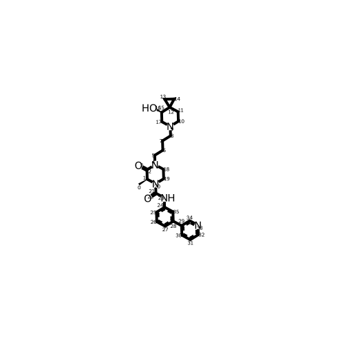 C[C@H]1C(=O)N(CCCCN2CCC3(CC3)[C@H](O)C2)CCN1C(=O)Nc1cccc(-c2cccnc2)c1